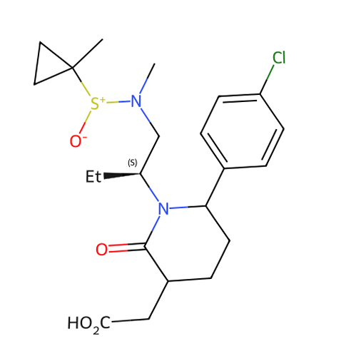 CC[C@@H](CN(C)[S+]([O-])C1(C)CC1)N1C(=O)C(CC(=O)O)CCC1c1ccc(Cl)cc1